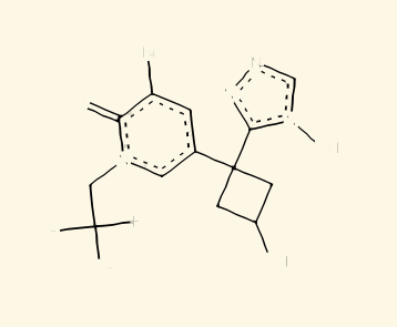 CC1CC(c2cc(Br)c(=O)n(CC(F)(F)C(F)(F)F)c2)(c2nncn2C)C1